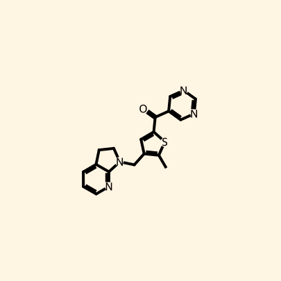 Cc1sc(C(=O)c2cncnc2)cc1CN1CCc2cccnc21